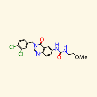 COCCNC(=O)Nc1ccc2ncn(Cc3ccc(Cl)c(Cl)c3)c(=O)c2c1